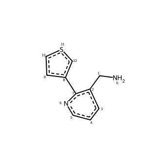 NCc1cccnc1-c1ccsc1